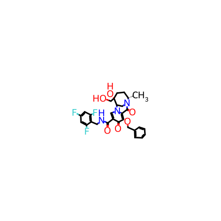 C[C@H]1CC[C@@](O)(CO)C2CN1C(=O)c1c(OCc3ccccc3)c(=O)c(C(=O)NCc3c(F)cc(F)cc3F)cn12